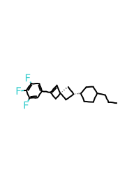 CCCC1CCC([C@H]2C[C@]3(C=C(c4cc(F)c(F)c(F)c4)C3)C2)CC1